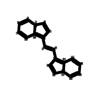 c1ccn2ccc(N=Nc3ccn4ccccc34)c2c1